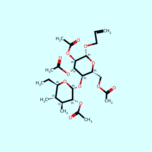 C=CCO[C@@H]1O[C@H](COC(C)=O)[C@@H](O[C@H]2O[C@H](CC)[C@@H](C)[C@H](C)[C@H]2OC(C)=O)[C@H](OC(C)=O)[C@H]1OC(C)=O